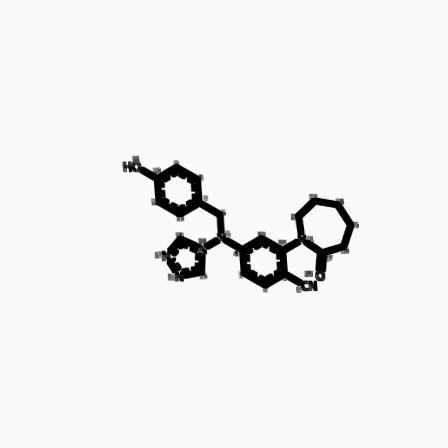 N#Cc1ccc(N(Cc2ccc(O)cc2)n2cnnc2)cc1N1CCCCCC1=O